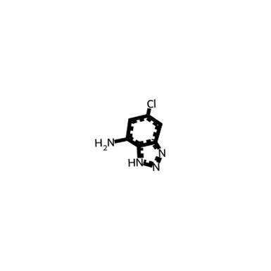 Nc1cc(Cl)cc2nn[nH]c12